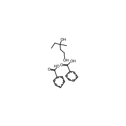 CCC(C)(O)CCO.O=C(O)c1ccccc1.O=C(O)c1ccccc1